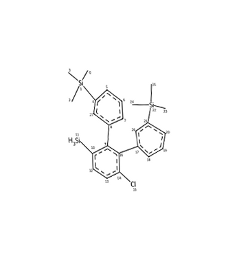 C[Si](C)(C)c1cccc(-c2c([SiH3])ccc(Cl)c2-c2cccc([Si](C)(C)C)c2)c1